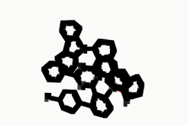 FC1C=CC(c2cccc(-n3c4ccccc4c4ccccc43)c2-c2nc(-c3ccccc3)nc(-c3c(C4=CCC(F)C=C4)cccc3-n3c4ccccc4c4ccccc43)n2)=CC1